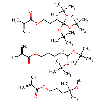 C=C(C)C(=O)OCCC[SiH2]C(O[Si](C)(C)C)O[Si](C)(C)C.C=C(C)C(=O)OCCC[Si](C)(C)OCC.C=C(C)C(=O)OCCC[Si](O[Si](C)(C)C)(O[Si](C)(C)C)O[Si](C)(C)C